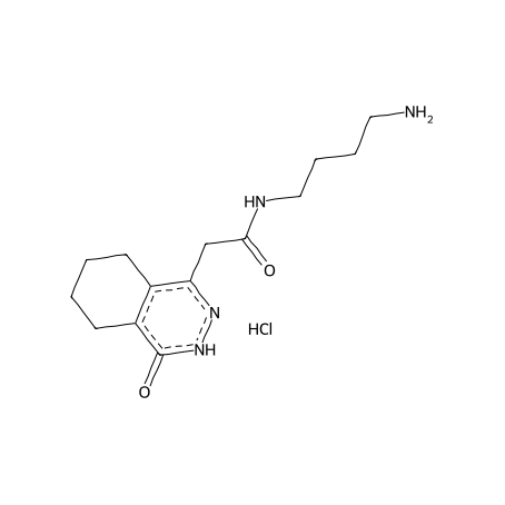 Cl.NCCCCNC(=O)Cc1n[nH]c(=O)c2c1CCCC2